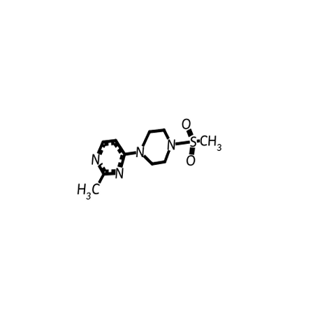 Cc1nccc(N2CCN(S(C)(=O)=O)CC2)n1